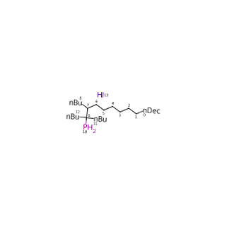 CCCCCCCCCCCCCCCCC(CCCC)C(P)(CCCC)CCCC.I